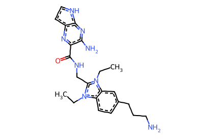 CCn1c(CNC(=O)c2nc3cc[nH]c3nc2N)[n+](CC)c2ccc(CCCN)cc21